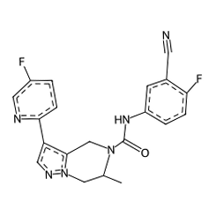 CC1Cn2ncc(-c3ccc(F)cn3)c2CN1C(=O)Nc1ccc(F)c(C#N)c1